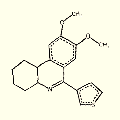 COc1cc2c(cc1OC)C1CCCCC1N=C2c1ccsc1